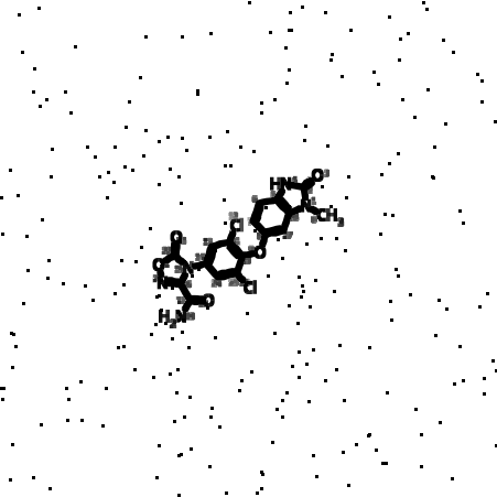 Cn1c(=O)[nH]c2ccc(Oc3c(Cl)cc(-n4c(C(N)=O)noc4=O)cc3Cl)cc21